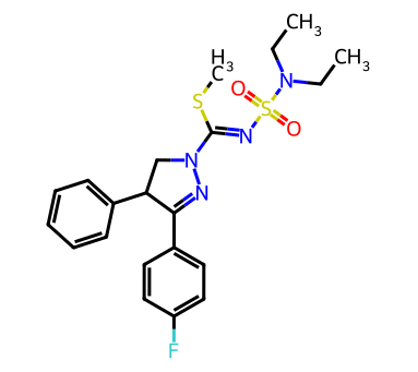 CCN(CC)S(=O)(=O)N=C(SC)N1CC(c2ccccc2)C(c2ccc(F)cc2)=N1